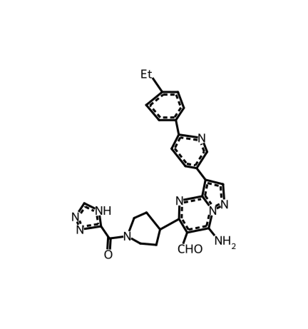 CCc1ccc(-c2ccc(-c3cnn4c(N)c(C=O)c(C5CCN(C(=O)c6nnc[nH]6)CC5)nc34)cn2)cc1